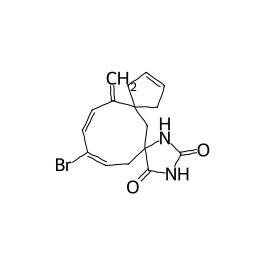 C=C1/C=C\C(Br)=C/CC2(CC13CC=CC3)NC(=O)NC2=O